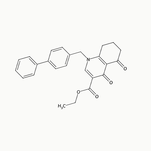 CCOC(=O)c1cn(Cc2ccc(-c3ccccc3)cc2)c2c(c1=O)C(=O)CCC2